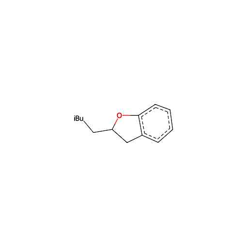 CCC(C)CC1Cc2ccccc2O1